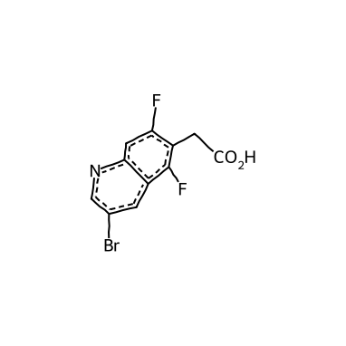 O=C(O)Cc1c(F)cc2ncc(Br)cc2c1F